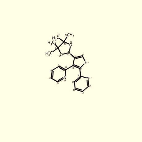 CC1(C)OB(c2csc(-c3ccccn3)c2-c2ccccn2)OC1(C)C